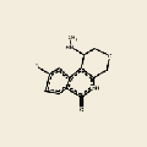 CNC1COCc2[nH]c(=O)c3ccc(F)cc3c21